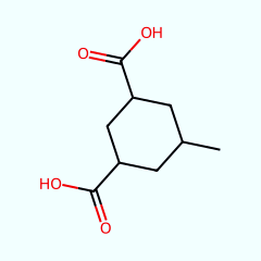 CC1CC(C(=O)O)CC(C(=O)O)C1